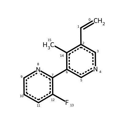 C=Cc1cncc(-c2ncccc2F)c1C